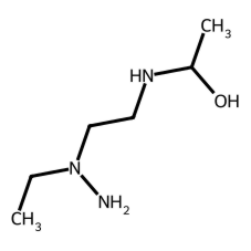 CCN(N)CCNC(C)O